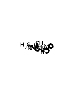 COc1nc(-c2nc3n(n2)CCC[C@@]3(C)c2ccccc2)ccc1-n1cnc(C)c1